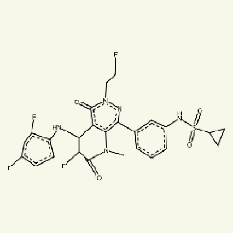 CN1C(=O)C(F)C(Nc2ccc(I)cc2F)c2c1c(-c1cccc(NS(=O)(=O)C3CC3)c1)nn(CCF)c2=O